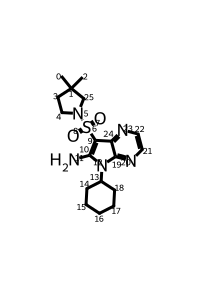 CC1(C)CCN(S(=O)(=O)c2c(N)n(C3CCCCC3)c3nccnc23)C1